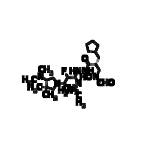 C=C(/C(F)=C(\N=C(\C)N)NNC(=O)[C@H](CC1CCCC1)CN(O)C=O)N1CC(N(C)C)C(C)(C)C1